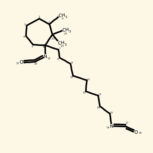 CC1CCCCC(CCCCCCCCCN=C=O)(N=C=O)C1(C)C